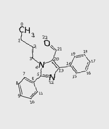 CCCCn1c(-c2ccccc2)nc(-c2ccccc2)c1C=O